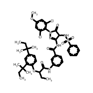 CCC(Oc1ccc(C(C)(C)CC)cc1C(C)(C)CC)C(=O)Nc1cccc(C(=O)NC2=NN(c3c(Cl)cc(OC)cc3Cl)C(=O)C2NS(=O)(=O)c2ccccc2)c1